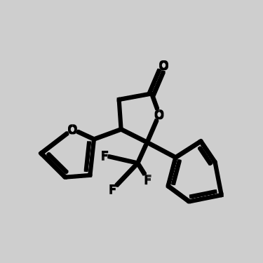 O=C1CC(c2ccco2)C(c2ccccc2)(C(F)(F)F)O1